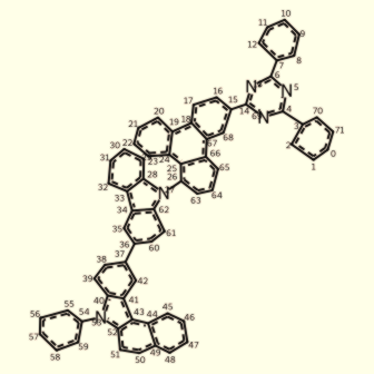 c1ccc(-c2nc(-c3ccccc3)nc(-c3ccc4c5ccccc5c5c(-n6c7ccccc7c7cc(-c8ccc9c(c8)c8c%10ccccc%10ccc8n9-c8ccccc8)ccc76)cccc5c4c3)n2)cc1